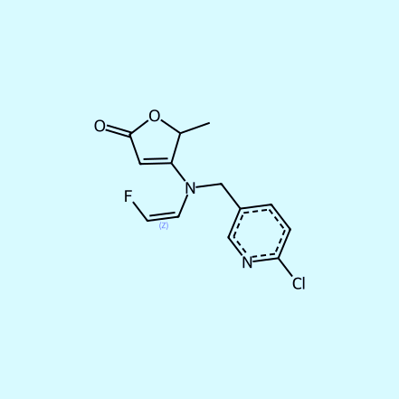 CC1OC(=O)C=C1N(/C=C\F)Cc1ccc(Cl)nc1